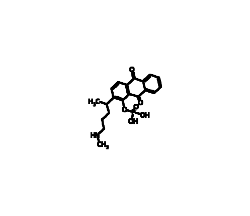 CNCCCC(C)c1ccc2c(c1OP(=O)(O)O)C(=O)c1ccccc1C2=O